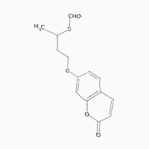 CC(CCOc1ccc2ccc(=O)oc2c1)O[C]=O